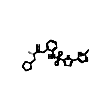 Cc1nc(-c2ccc(S(=O)(=O)Nc3ccccc3CN[C@@H](C)CC3CCCC3)s2)cs1